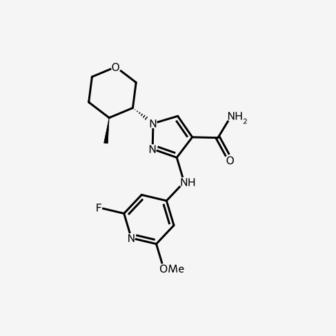 COc1cc(Nc2nn([C@H]3COCC[C@@H]3C)cc2C(N)=O)cc(F)n1